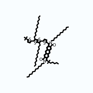 CCCCCCCCCCCCc1c(-c2ccc(C3=c4cc5cc6cc7c(cc6cc5cc4C(=O)N3CCCCCCCCCCCC)=C(C(C)(C)CCCCC)N(CCCCCCCCCCCC)C7=O)s2)sc2c(CCCCCCCCCCCC)c(-c3ccc(C(C)(C)C)s3)sc12